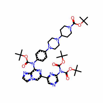 CC(C)(C)OC(=O)N1CCC(N2CCN(c3ccc(N(C(=O)OC(C)(C)C)c4nc(-c5cncc(N(C(=O)OC(C)(C)C)C(=O)OC(C)(C)C)n5)cn5ccnc45)cc3)CC2)CC1